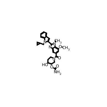 COc1cc(C(=O)N2CC[C@@H](O)[C@@H](OC(N)=O)C2)cc2nc(-c3cc4ccccc4n3CC3CC3)n(C)c12